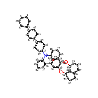 c1ccc(-c2ccc(-c3ccc(N(c4ccccc4)c4ccccc4-c4ccc5c(c4)Oc4cccc6cccc(c46)O5)cc3)cc2)cc1